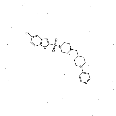 O=S(=O)(c1cc2cc(Cl)ccc2o1)N1CCN(CC2CCN(c3ccncc3)CC2)CC1